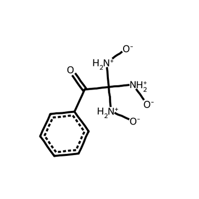 O=C(c1ccccc1)C([NH2+][O-])([NH2+][O-])[NH2+][O-]